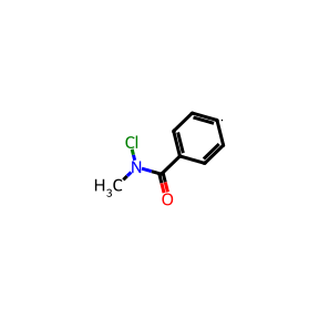 CN(Cl)C(=O)c1cc[c]cc1